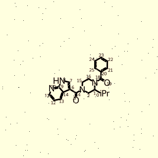 CC(C)C1CN(C(=O)c2c[nH]c3ncccc23)CCN1C(=O)c1ccccc1